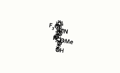 COC1Cc2c(ncn2-c2cc(OCc3ccccc3C(F)(F)F)c(C#N)s2)C=C1OCCCO